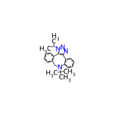 CC(C)n1nnc2c1-c1ccccc1CN(C(C)(C)C)c1ccccc1-2